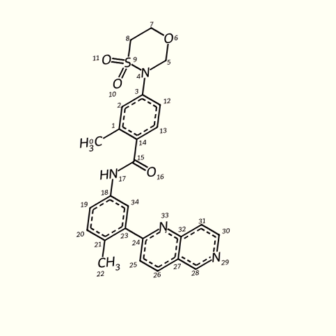 Cc1cc(N2COCCS2(=O)=O)ccc1C(=O)Nc1ccc(C)c(-c2ccc3cnccc3n2)c1